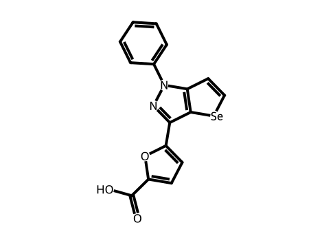 O=C(O)c1ccc(-c2nn(-c3ccccc3)c3cc[se]c23)o1